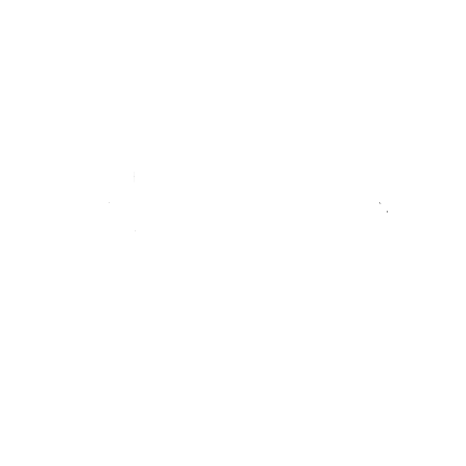 CC(C)(Cc1ccc2c(ccc3cnccc32)c1)C(F)(F)F